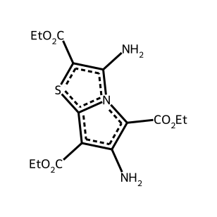 CCOC(=O)c1sc2c(C(=O)OCC)c(N)c(C(=O)OCC)n2c1N